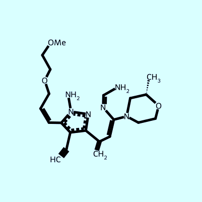 C#Cc1c(C(=C)/C=C(\N=C/N)N2CCO[C@@H](C)C2)nn(N)c1/C=C\COCCOC